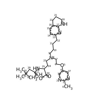 Cc1ncc(OCCN(CCCCc2ccc3c(n2)NCCC3)CCC(NC(=O)CC(C)(C)C)C(=O)O)cn1